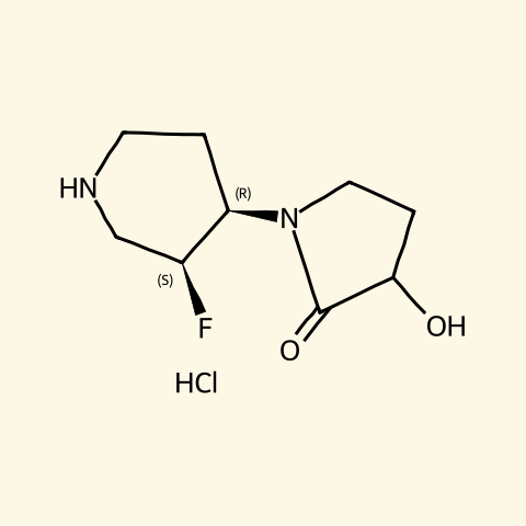 Cl.O=C1C(O)CCN1[C@@H]1CCNC[C@@H]1F